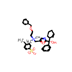 C[N+](C)(CCOCc1ccccc1)Cc1cnc([C@](O)(c2ccccc2)C2CCCCC2)o1.Cc1ccc(S(=O)(=O)[O-])cc1